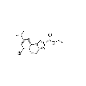 CCOC(=O)c1cn2c(ccc3c(Br)cc(C(C)C)nc32)n1